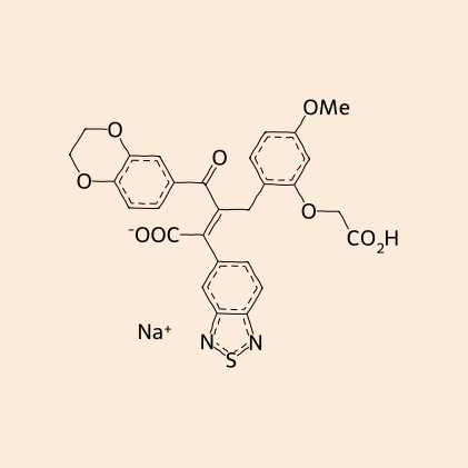 COc1ccc(CC(C(=O)c2ccc3c(c2)OCCO3)=C(C(=O)[O-])c2ccc3nsnc3c2)c(OCC(=O)O)c1.[Na+]